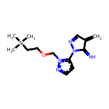 C=C1C=NN(c2ccnn2COCC[Si](C)(C)C)C1=N